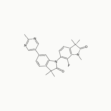 Cc1ncc(-c2ccc3c(c2)N(c2ccc4c(c2F)N(C)C(=O)C4(C)C)C(=O)C3(C)C)cn1